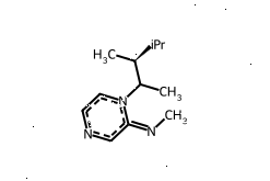 C/N=c1/cnccn1C(C)[C@@H](C)C(C)C